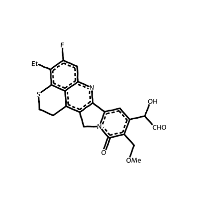 CCc1c(F)cc2nc3c(c4c2c1SCC4)Cn1c-3cc(C(O)C=O)c(COC)c1=O